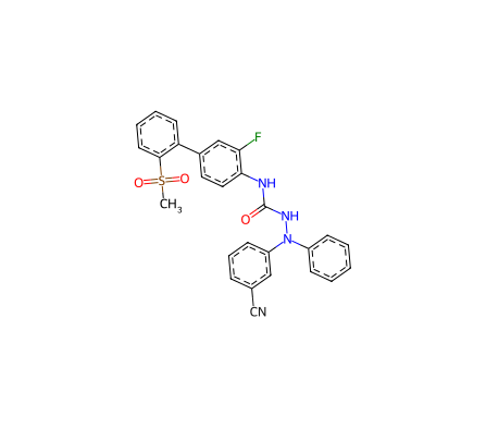 CS(=O)(=O)c1ccccc1-c1ccc(NC(=O)NN(c2ccccc2)c2cccc(C#N)c2)c(F)c1